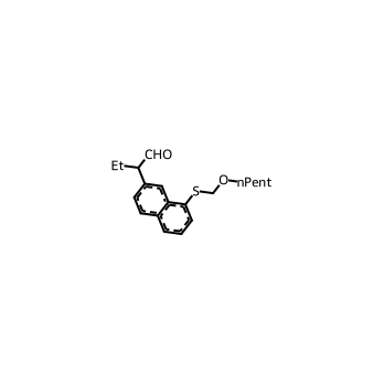 CCCCCOCSc1cccc2ccc(C(C=O)CC)cc12